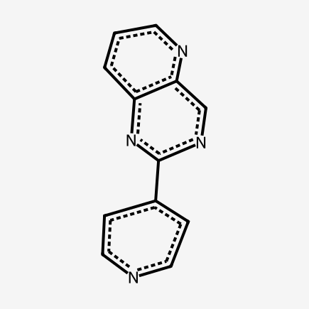 c1cnc2cnc(-c3ccncc3)nc2c1